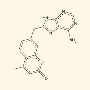 Cc1cc(=O)oc2cc(Sc3nc4c(N)ncnc4[nH]3)ccc12